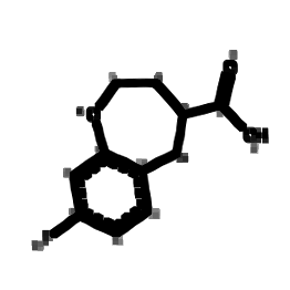 O=C(O)C1CCOc2cc(F)ccc2C1